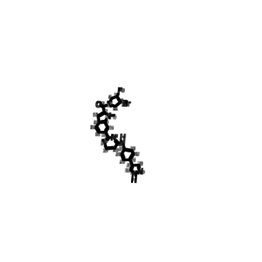 Cn1c(C(=O)N2CC(F)[C@H](Br)C2)cc2ccc(-c3nccc(Nc4ccc(-c5cn[nH]c5)cc4)n3)cc21